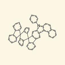 c1ccc(-n2c3cc4c(cc3c3c5ccccc5ccc32)-c2ccccc2C42c3ccccc3C3(c4ccccc4-c4ccccc43)c3ccccc32)cc1